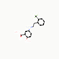 O=C(O)c1cc(NCCc2ccccc2C(F)(F)F)ccc1O